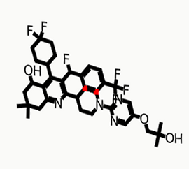 CC(C)(O)COc1cnc(N2CCC(c3nc4c(c(C5CCC(F)(F)CC5)c3C(F)c3ccc(C(F)(F)F)cc3)C(O)CC(C)(C)C4)CC2)nc1